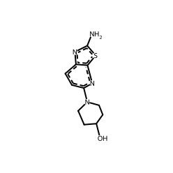 Nc1nc2ccc(N3CCC(O)CC3)nc2s1